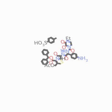 CCN1CCN(C(=O)N[C@H](C(=O)N[C@@H]2C(=O)N3C(C(=O)OC(c4ccccc4)c4ccccc4)=C(COC(C)=O)CS[C@@H]23)c2ccc(N)cc2)C(=O)C1=O.Cc1ccc(S(=O)(=O)O)cc1